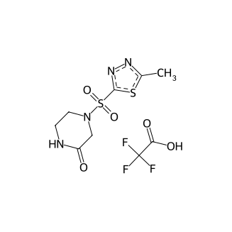 Cc1nnc(S(=O)(=O)N2CCNC(=O)C2)s1.O=C(O)C(F)(F)F